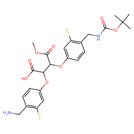 COC(=O)C(Oc1ccc(CNC(=O)OC(C)(C)C)c(F)c1)C(Oc1ccc(CN)c(F)c1)C(=O)O